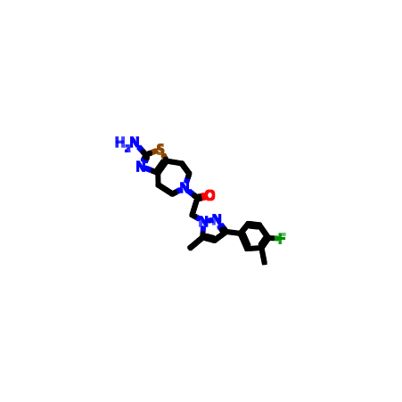 Cc1cc(-c2cc(C)n(CC(=O)N3CCc4nc(N)sc4CC3)n2)ccc1F